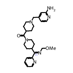 COC/N=C(/c1ccccn1)C1CCN(C(=O)C2CCN(Cc3ccnc(N)c3)CC2)CC1